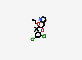 C=CCOC(/C(=C\c1cccnc1)Oc1ccc(Cl)cc1Cl)C(C)(C)C